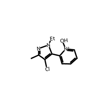 CCn1nc(C)c(Cl)c1-c1cccc[n+]1O